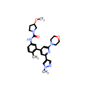 Cc1ccc(NC(=O)N2CC[C@@H](OC(F)(F)F)C2)cc1-c1cc(-c2cnn(C)c2)nc(N2CCOCC2)c1